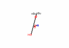 CCCCC(CCCC)CCOOCCCCCCCCCCC(CCCCCCCCCCO)C(=O)OCCN(C)C